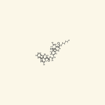 CCCCCCC(=O)N1CCc2c([nH]c3ccc(CC(C)CC(=O)N4CCc5c([nH]c6ccccc56)C4CC(C)C)cc23)C1CC(C)C